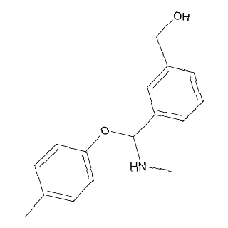 CNC(Oc1ccc(C)cc1)c1cccc(CO)c1